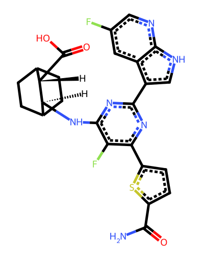 NC(=O)c1ccc(-c2nc(-c3c[nH]c4ncc(F)cc34)nc(N[C@H]3C4CCC(CC4)[C@@H]3C(=O)O)c2F)s1